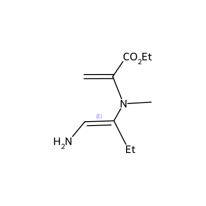 C=C(C(=O)OCC)N(C)/C(=C/N)CC